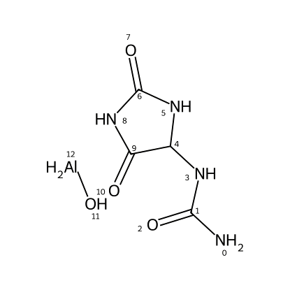 NC(=O)NC1NC(=O)NC1=O.[OH][AlH2]